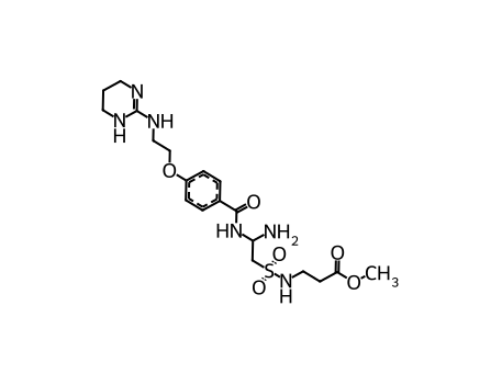 COC(=O)CCNS(=O)(=O)CC(N)NC(=O)c1ccc(OCCNC2=NCCCN2)cc1